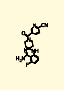 N#Cc1ccc(C(=O)N2CCC3(CC2)N=C(N)c2c(F)cccc2N3)cn1